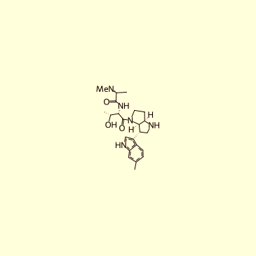 CN[C@@H](C)C(=O)N[C@H](C(=O)N1CC[C@H]2NC[C@H](c3c[nH]c4cc(C)ccc34)[C@H]21)[C@@H](C)O